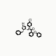 O=C(c1ccccc1Oc1ccccc1)N(C[C@H]1CNC[C@@H]1Cc1ccccc1)c1ccc(Cl)cc1